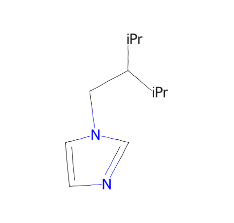 CC(C)C(Cn1ccnc1)C(C)C